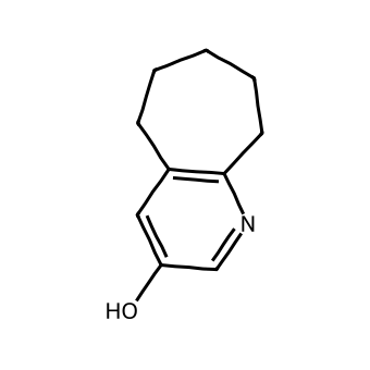 Oc1cnc2c(c1)CCCCC2